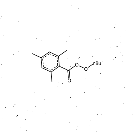 [CH2]CCCOOC(=O)c1c(C)cc(C)cc1C